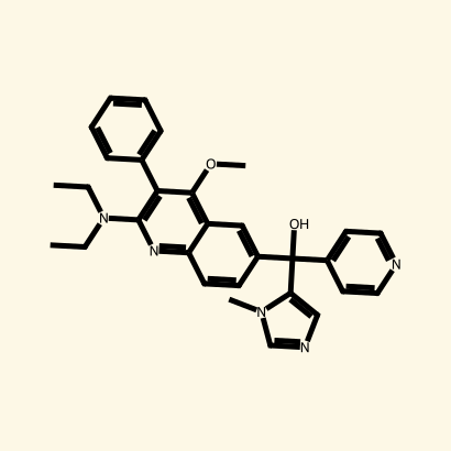 CCN(CC)c1nc2ccc(C(O)(c3ccncc3)c3cncn3C)cc2c(OC)c1-c1ccccc1